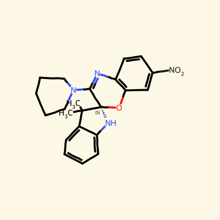 CC1(C)c2ccccc2N[C@]12Oc1cc([N+](=O)[O-])ccc1N=C2N1CCCCC1